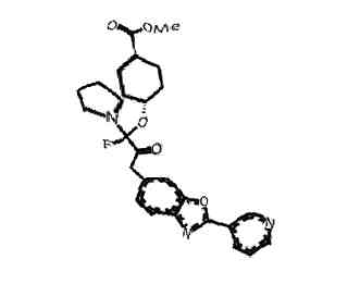 COC(=O)[C@H]1CC[C@H](OC(F)(C(=O)Cc2ccc3nc(-c4cccnc4)oc3c2)N2CCCC2)CC1